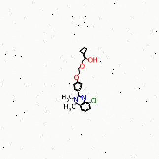 CC1c2cccc(Cl)c2N=C(c2ccc(OCCOCC(O)=C3CCC3)cc2)N1C